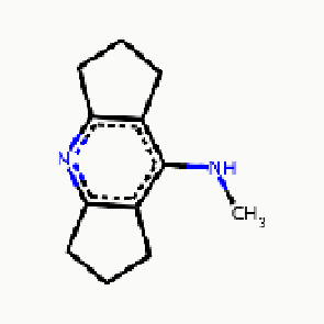 CNc1c2c(nc3c1CCC3)CCC2